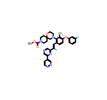 CC(C)(C)OC(=O)N1CCC2(CC1)CN(c1c(/C=C(\F)c3cncc(-c4ccnnc4)n3)ccc(Oc3cccc(F)c3)c1C(F)(F)F)CCO2